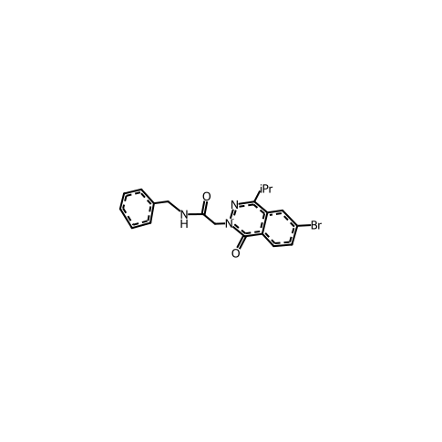 CC(C)c1nn(CC(=O)NCc2ccccc2)c(=O)c2ccc(Br)cc12